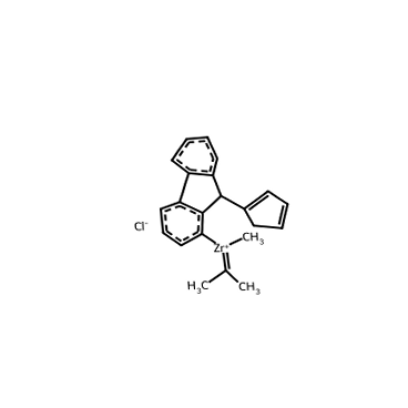 C[C](C)=[Zr+]([CH3])[c]1cccc2c1C(C1=CC=CC1)c1ccccc1-2.[Cl-]